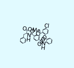 COC(=O)C(Cc1ccccc1)NC(=O)c1ccc(S(=O)(=O)Nc2ccccc2Oc2ccc(Cl)cc2Cl)cc1